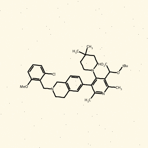 COc1cccc(Cl)c1CN1CCc2cc(-c3c(C)nc(C)c(C(OC(C)(C)C)C(=O)O)c3N3CCC(C)(C)CC3)ccc2C1